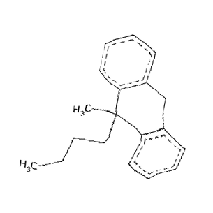 CCCCC1(C)c2ccccc2Cc2ccccc21